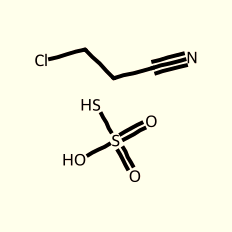 N#CCCCl.O=S(=O)(O)S